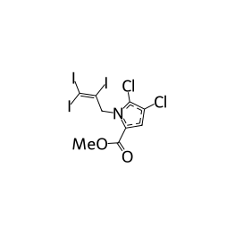 COC(=O)c1cc(Cl)c(Cl)n1CC(I)=C(I)I